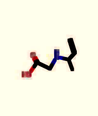 C=CC(C)NCC(=O)O